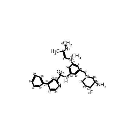 C=N/C(C)=C\N(C)c1cc(CN2CC[C@@H](F)[C@H](N)C2)cc(NC(=O)c2cc(-c3ccccc3)ccn2)c1